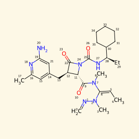 C=NN(C)/C(=C\C)N(C)C(=O)[C@@H]1[C@@H](Cc2cc(C)nc(N)c2)C(=O)N1C(=O)N[C@H](CC)C1CCCCC1